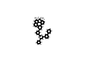 CC1(C)c2cccc(-c3ccc(-c4cccc(-c5nc(-c6ccccc6)cc(-c6cccc(-c7ccccc7)c6)n5)c4)cc3)c2-c2c1ccc1ccccc21